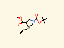 C=CC[C@H]1CN(C(=O)OC(C)(C)C)CC1C(=O)OC